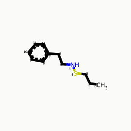 CCCSNCCc1ccccc1